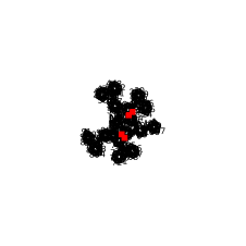 c1ccc(-c2ccc(-c3cccc(-c4cc(-n5c6ccc(-n7c8ccccc8c8ccccc87)cc6c6cc(-n7c8ccccc8c8ccccc87)ccc65)ncc4-n4c5ccc(-n6c7ccccc7c7ccccc76)cc5c5cc(-n6c7ccccc7c7ccccc76)ccc54)c3)c(-c3ccccc3)n2)cc1